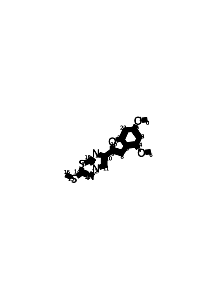 COc1cc(OC)c2cc(-c3cn4nc(SC)sc4n3)oc2c1